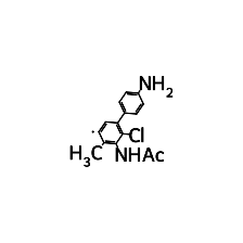 CC(=O)Nc1c(C)[c]cc(-c2ccc(N)cc2)c1Cl